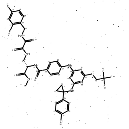 COC(=O)[C@H](CNC(=O)C(=O)NCc1ccc(F)cc1F)NC(=O)c1ccc(Nc2nc(NC3(c4ccc(Cl)cc4)CC3)nc(OCC(F)(F)F)n2)cc1